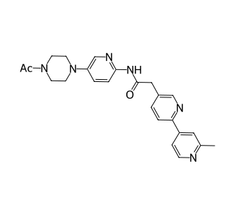 CC(=O)N1CCN(c2ccc(NC(=O)Cc3ccc(-c4ccnc(C)c4)nc3)nc2)CC1